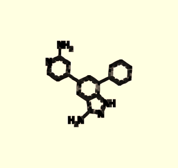 Nc1cc(-c2cc(-c3ccccc3)c3[nH]nc(N)c3c2)ccn1